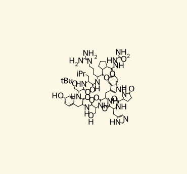 CC(C)CC(NC(=O)C(COC(C)(C)C)NC(=O)C(Cc1ccc(O)cc1)NC(=O)C(CO)NC(=O)C(Cc1c[nH]c2ccccc12)NC(=O)C(Cc1cnc[nH]1)NC(=O)C1CCC(=O)N1)C(=O)NC(CCCN=C(N)N)C(=O)C1CCCC1C(=O)NNC(N)=O